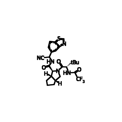 CC(C)(C)[C@H](NC(=O)C(F)(F)F)C(=O)N1C[C@@H]2CCC[C@@H]2[C@H]1C(=O)NC(C#N)c1ccc2scnc2c1